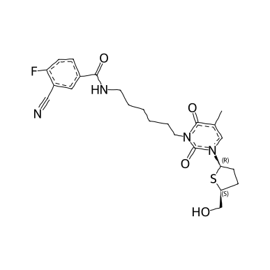 Cc1cn([C@H]2CC[C@@H](CO)S2)c(=O)n(CCCCCCNC(=O)c2ccc(F)c(C#N)c2)c1=O